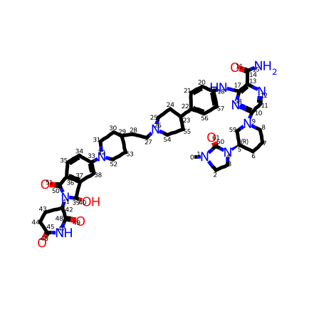 CN1CCN([C@@H]2CCCN(c3cnc(C(N)=O)c(Nc4ccc(C5CCN(CCC6CCN(c7ccc8c(c7)C(O)N(C7CCC(=O)NC7=O)C8=O)CC6)CC5)cc4)n3)C2)C1=O